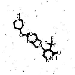 O=c1[nH]ncc(N2Cc3ccc(OC4CCNCC4)nc3C2)c1C(F)(F)F